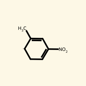 CC1=CC([N+](=O)[O-])=CC[CH]1